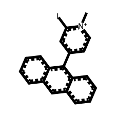 C[n+]1ccc(-c2c3ccccc3cc3ccccc23)cc1I